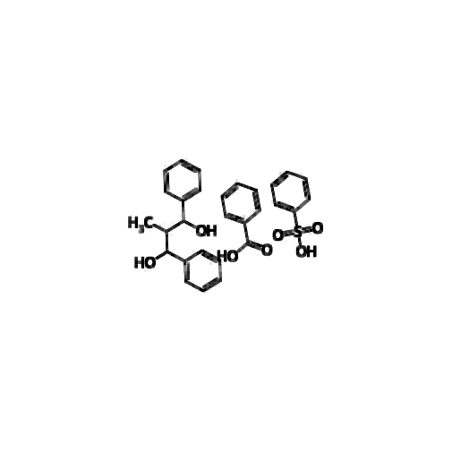 CC(C(O)c1ccccc1)C(O)c1ccccc1.O=C(O)c1ccccc1.O=S(=O)(O)c1ccccc1